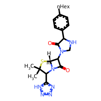 CCCCCCc1ccc(C2NCN(C3C(=O)N4C(c5nnn[nH]5)C(C)(C)S[C@H]34)C2=O)cc1